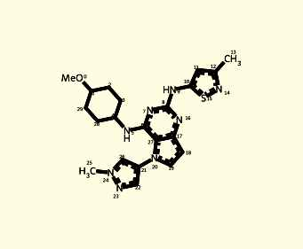 COC1CCC(Nc2nc(Nc3cc(C)ns3)nc3ccn(-c4cnn(C)c4)c23)CC1